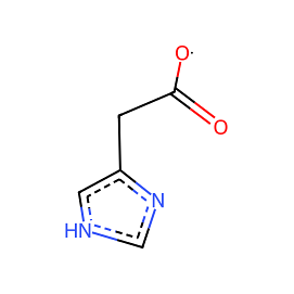 [O]C(=O)Cc1c[nH]cn1